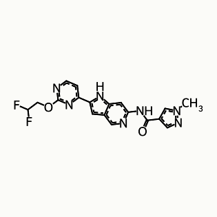 Cn1cc(C(=O)Nc2cc3[nH]c(-c4ccnc(OCC(F)F)n4)cc3cn2)cn1